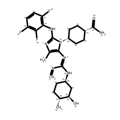 C=N/C(=N\c1c(C)nc(Nc2c(F)ccc(F)c2F)n1[C@H]1CC[C@@H](C(N)=O)CC1)N[C@@H]1CC[C@@H](C)[C@H](O)C1